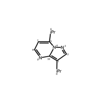 CC(C)c1cnn2c(C(C)C)ccnc12